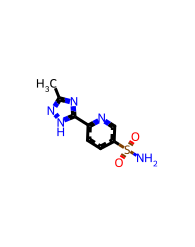 Cc1n[nH]c(-c2ccc(S(N)(=O)=O)cn2)n1